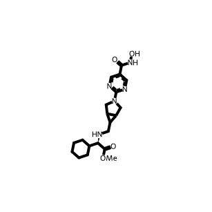 COC(=O)[C@@H](NCC1C2CN(c3ncc(C(=O)NO)cn3)CC12)C1CCCCC1